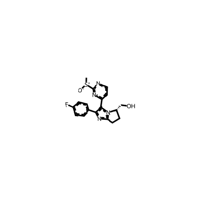 C[S+]([O-])c1nccc(-c2c(-c3ccc(F)cc3)nc3n2[C@H](CO)CC3)n1